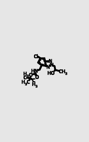 CC(O)Cn1nc2cc(Cl)cc(CNC(=O)OC(C)(C)C)c2n1